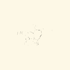 CC1=C(C(=O)O)C=C(Br)C(C)(OC(F)(F)F)C1C(=O)O